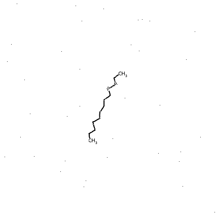 CCCCCCCCC[P][P]CC